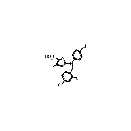 Cc1sc(N(Cc2ccc(Cl)cc2Cl)c2ccc(Cl)cc2)nc1C(=O)O